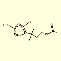 CC(=O)NCCC(C)(C)c1ccc(N)cc1Br